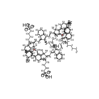 CCCCC[N+]1=C(/C=C/C2=C(NCCSC3=C(/C=C/C4=[N+](CCCCC)c5ccc6cc(Br)ccc6c5C4(C)C)c4ccccc4/C3=C\C=C3\N(CCCCS(=O)(=O)O)c4ccc5cc(Br)ccc5c4C3(C)C)C(=C/C=C3/N(CCCCS(=O)(=O)O)c4ccc5cc(Br)ccc5c4C3(C)C)/c3ccccc32)C(C)(C)c2c1ccc1cc(Br)ccc21